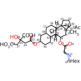 CCCCCCN=CC(=O)OC1C[C@]2(C)[C@@H](C(C)=O)CC[C@H]2[C@@H]2CCC3CC(OC(=O)CC(O)(CC(=O)O)C(=O)O)CC[C@]3(C)[C@@H]12